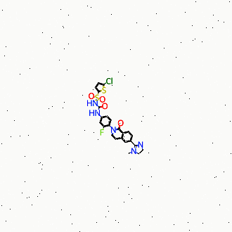 CN1CCN=C1c1ccc2c(=O)n(-c3ccc(NC(=O)NS(=O)(=O)c4ccc(Cl)s4)cc3F)ccc2c1